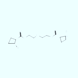 CC(=O)[C@H]1CC[C@H]1C(=O)OCCOCCOC(=O)[C@H]1CC[C@H]1C(C)=O